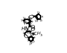 CN1C(=O)[C@@H](NC(=O)c2cc(OC3CCCC3)ccn2)COc2ccccc21